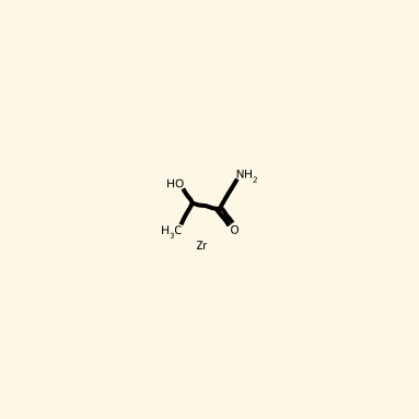 CC(O)C(N)=O.[Zr]